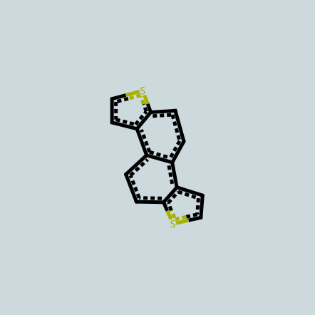 c1cc2c(ccc3c4ccsc4ccc23)s1